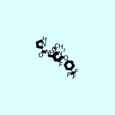 COc1nc(O[C@H]2CC[C@@H](C(F)(F)F)CC2)c(F)cc1CNC(=O)[C@@H]1CCCN1